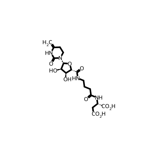 C=C1CCN([C@@H]2O[C@H](C(=O)NCCCC(=O)N[C@@H](CC(=O)O)C(=O)O)[C@@H](O)[C@H]2O)C(=O)N1